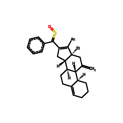 C=C1C[C@]2(CC)C(C(C)=O)=C(C(=S=O)c3ccccc3)C[C@H]2[C@@H]2CCC3=CCCC[C@@H]3[C@@H]12